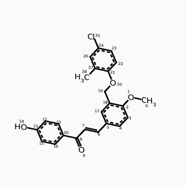 COc1ccc(/C=C/C(=O)c2ccc(O)cc2)cc1COc1ccc(Cl)cc1C